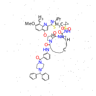 COc1ccc2c(O[C@@H]3C[C@H]4C(=O)N[C@]5(C(=O)NS(=O)(=O)C6(C)CC6)C[C@H]5/C=C\CCCCC[C@H](Nc5cccc(C(=O)N6CCN(C(c7ccccc7)c7ccccc7)CC6)c5)C(=O)N4C3)cc(-c3nc(C(C)C)cs3)nc2c1C